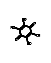 N#CC1=C(N=O)C(=O)C(C#N)=C(N=O)C1=O